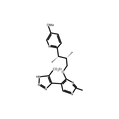 CCOC(=O)c1[nH]nnc1-c1cnc(C)nc1OC[C@@H](C)[C@H](C)c1ccc(OC)cn1